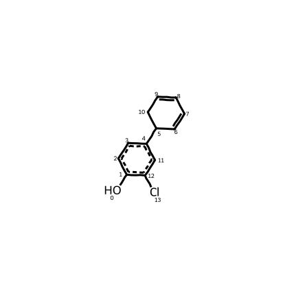 Oc1ccc(C2C=CC=CC2)cc1Cl